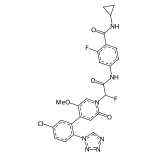 COc1cn(C(F)C(=O)Nc2ccc(C(=O)NC3CC3)c(F)c2)c(=O)cc1-c1cc(Cl)ccc1-n1cnnn1